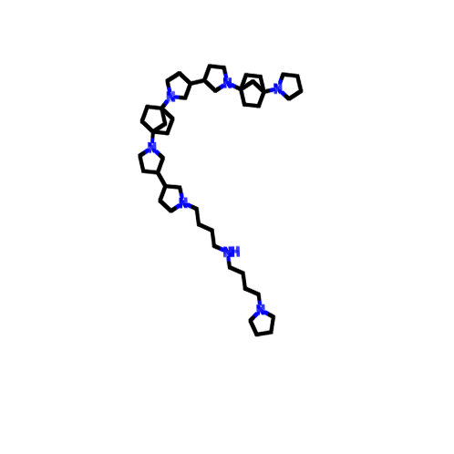 C(CCN1CCCC1)CNCCCCN1CCC(C2CCN(C34CCC(N5CCC(C6CCN(C78CCC(N9CCCC9)(CC7)C8)C6)C5)(CC3)C4)C2)C1